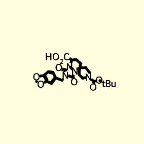 CC(C)(C)OC(=O)N1CCC2(CCC(C(=O)O)n3c(=O)n(Cc4ccc5c(c4)OCO5)c(=O)n32)CC1